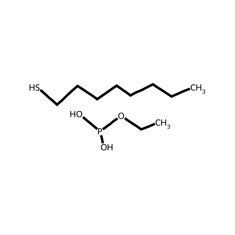 CCCCCCCCS.CCOP(O)O